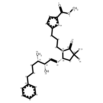 COC(=O)c1ccc(CCCN2C(=O)C(F)(F)C[C@@H]2C=C[C@H](O)[C@@H](C)CCCc2ccccc2)s1